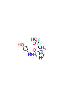 Cn1cc2c3c1C(=O)C(N/C=C/c1ccc(O)cc1)=CC3=NCC2.O=C(O)C(F)(F)F